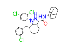 O=C(NC1C2CC3CC(C2)CC1C3)C1NN(c2ccc(Cl)cc2Cl)C2=C1CCCCC2Cc1cccc(Cl)c1